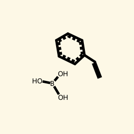 C=Cc1ccccc1.OB(O)O